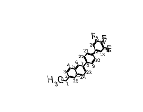 CCc1ccc2cc(-c3ccc(-c4cc(F)c(F)c(F)c4)cc3)ccc2c1